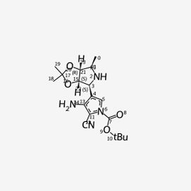 C[C@H]1N[C@@H](c2cn(C(=O)OC(C)(C)C)c(C#N)c2N)[C@@H]2OC(C)(C)O[C@@H]21